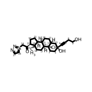 C[C@]12CC[C@](O)(C#CCCO)C[C@H]1CC[C@@H]1[C@@H]2CC[C@]2(C)[C@@H](C(=O)Cn3ccnn3)CC[C@@H]12